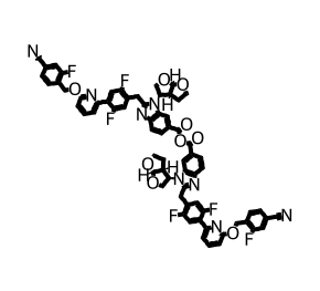 N#Cc1ccc(COc2cccc(-c3cc(F)c(Cc4nc5ccc(C(=O)OC(=O)c6ccc7nc(Cc8cc(F)c(-c9cccc(OCc%10ccc(C#N)cc%10F)n9)cc8F)n([C@H]8CO[C@H]9OCC[C@H]98)c7c6)cc5n4[C@H]4CO[C@H]5OCC[C@H]54)cc3F)n2)c(F)c1